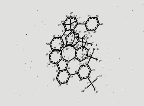 O=C1c2cccc(-n3c4c(-c5cc(C(F)(F)F)cc(C(F)(F)F)c5)cccc4c4cccc(-c5cc(C(F)(F)F)cc(C(F)(F)F)c5)c43)c2C(=O)N1c1c(-c2ccccc2)cccc1-c1ccccc1